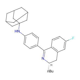 CCCC[C@H]1Cc2cc(F)ccc2C(c2ccc(NC34CC5CC(CC(C5)C3)C4)cc2)=N1